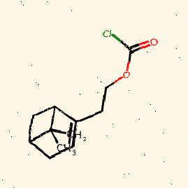 CC1(C)C2CC=C(CCOC(=O)Cl)C1C2